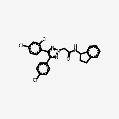 O=C(Cn1nc(-c2ccc(Cl)cc2)c(-c2ccc(Cl)cc2Cl)n1)NC1CCc2ccccc21